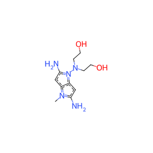 Cn1c(N)cc2c1cc(N)n2N(CCO)CCO